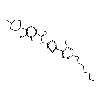 CCCCCCOc1ccc(-c2ccc(OC(=O)c3ccc(C4CCC(C)CC4)c(F)c3F)cc2)c(F)c1